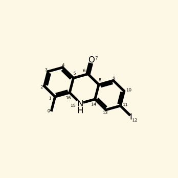 Cc1cccc2c(=O)c3ccc(I)cc3[nH]c12